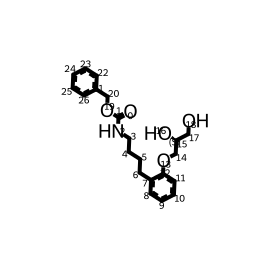 O=C(NCCCCc1ccccc1OC[C@@H](O)CO)OCc1ccccc1